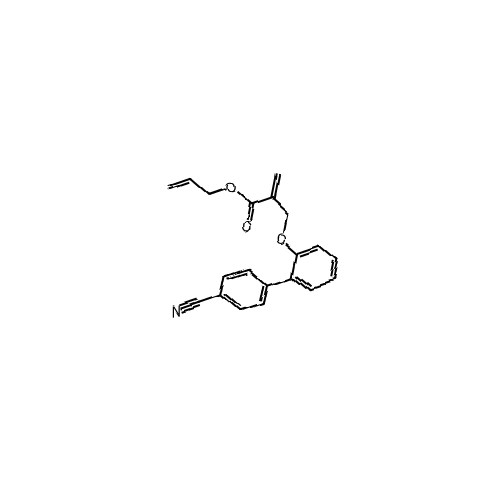 C=CCOC(=O)C(=C)COc1ccccc1-c1ccc(C#N)cc1